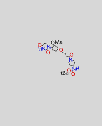 COc1cc(OCCCC(=O)N2CCC(NC(=O)OC(C)(C)C)CC2)ccc1N1CCC(=O)NC1=O